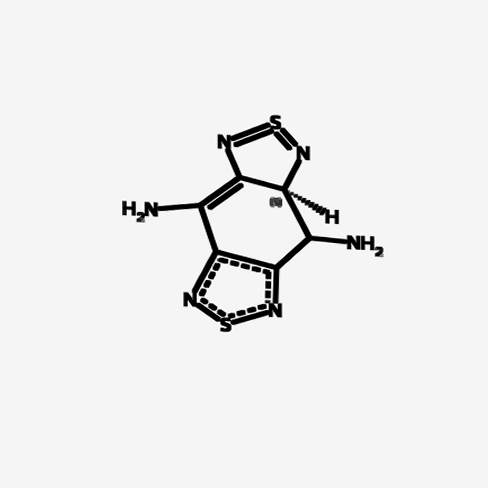 NC1=C2N=S=N[C@H]2C(N)c2nsnc21